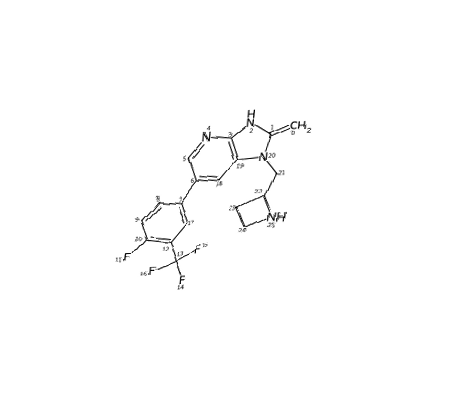 C=C1Nc2ncc(-c3ccc(F)c(C(F)(F)F)c3)cc2N1CC1CCN1